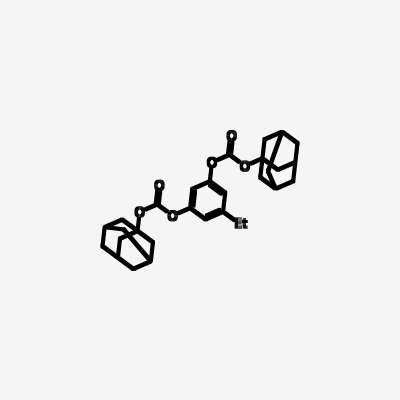 CCc1cc(OC(=O)OC23CC4CC(CC(C4)C2)C3)cc(OC(=O)OC23CC4CC(CC(C4)C2)C3)c1